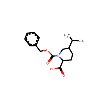 CC(C)C1CCC(C(=O)O)N(C(=O)OCc2ccccc2)C1